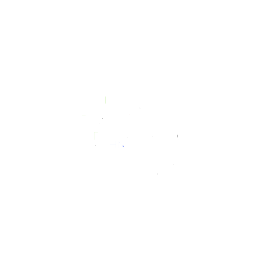 Cc1cccc(NC(=O)C(F)(F)F)c1